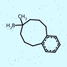 BC1(C)CCCc2ccccc2CCC1